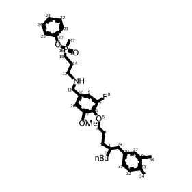 CCCCC(CCCOc1c(F)cc(CNCCCP(C)(=O)Oc2ccccc2)cc1OC)Cc1ccc(C)c(C)c1